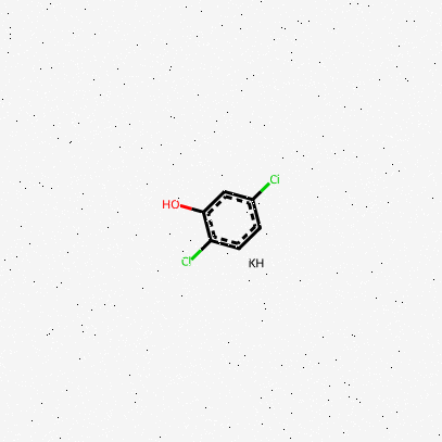 Oc1cc(Cl)ccc1Cl.[KH]